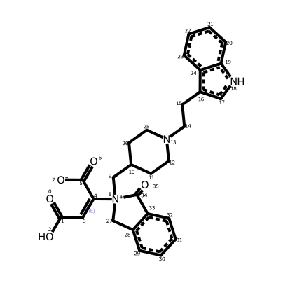 O=C(O)/C=C(\C(=O)[O-])[N+]1(CC2CCN(CCc3c[nH]c4ccccc34)CC2)Cc2ccccc2C1=O